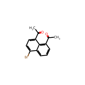 CC(=O)c1cccc2c(Br)ccc(C(C)=O)c12